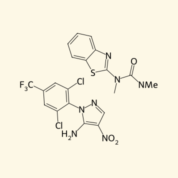 CNC(=O)N(C)c1nc2ccccc2s1.Nc1c([N+](=O)[O-])cnn1-c1c(Cl)cc(C(F)(F)F)cc1Cl